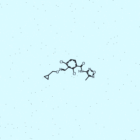 Cc1nonc1NC(=O)c1ccc(Cl)c(C=NOCC2CC2)c1Cl